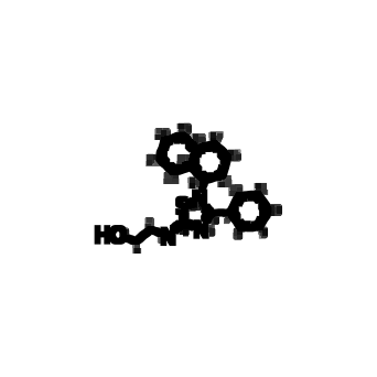 OCCN=c1nc(-c2ccccc2)n(-c2cccc3ccccc23)s1